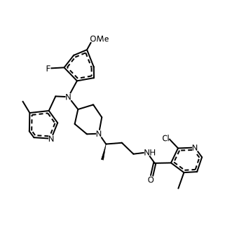 COc1ccc(N(Cc2cnccc2C)C2CCN([C@H](C)CCNC(=O)c3c(C)ccnc3Cl)CC2)c(F)c1